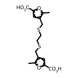 Cc1oc(C(=O)O)cc1CSCCSCc1cc(C(=O)O)oc1C